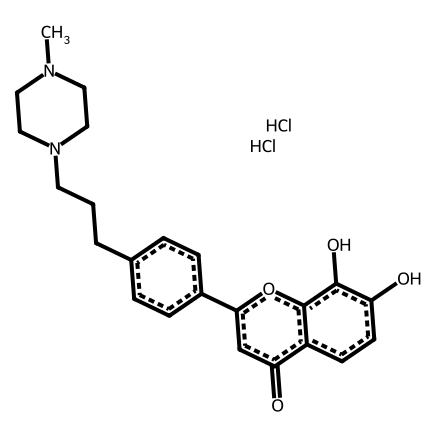 CN1CCN(CCCc2ccc(-c3cc(=O)c4ccc(O)c(O)c4o3)cc2)CC1.Cl.Cl